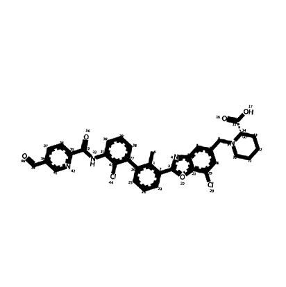 Cc1c(-c2nc3cc(CN4CCCC[C@H]4C(=O)O)cc(Cl)c3o2)cccc1-c1cccc(NC(=O)c2ccc(C=O)cn2)c1Cl